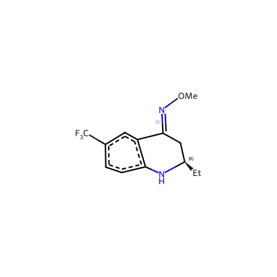 CC[C@@H]1C/C(=N\OC)c2cc(C(F)(F)F)ccc2N1